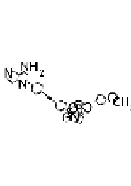 COc1ccc(COC(=O)[C@H]2CCCN2S(=O)(=O)c2ccc(C#Cc3ccc(-c4cc(N)c5cnccc5n4)cc3)cc2)cc1